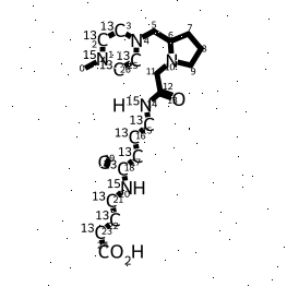 C[15N]1[13CH2][13CH2]N(CC2CCCN2CC(=O)[15NH][13CH2][13CH2][13CH2][13C](=O)[15NH][13CH2][13CH2][13CH2]C(=O)O)[13CH2][13CH2]1